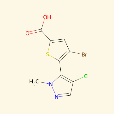 Cn1ncc(Cl)c1-c1sc(C(=O)O)cc1Br